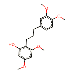 COc1cc(O)c(CCCc2ccc(OC)c(OC)c2)c(OC)c1